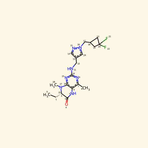 CC[C@H]1C(=O)Nc2c(C)nc(NCc3cnn(CC4CC(F)(F)C4)c3)nc2N1C